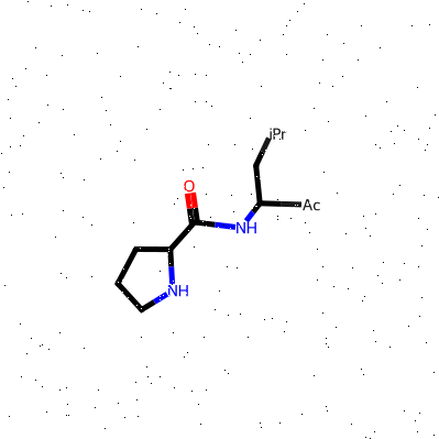 CC(=O)C(CC(C)C)NC(=O)C1CCCN1